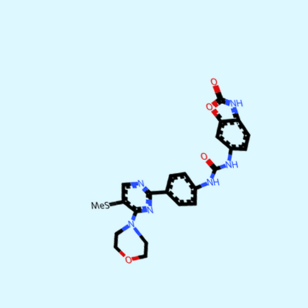 CSc1cnc(-c2ccc(NC(=O)Nc3ccc4[nH]c(=O)oc4c3)cc2)nc1N1CCOCC1